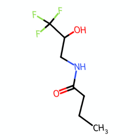 CCCC(=O)NCC(O)C(F)(F)F